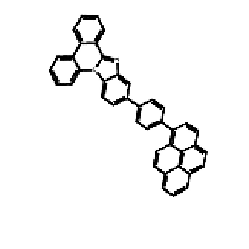 c1cc2ccc3ccc(-c4ccc(-c5ccc6c(c5)nc5c7ccccc7c7ccccc7n65)cc4)c4ccc(c1)c2c34